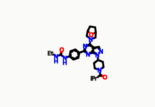 CCNC(=O)Nc1ccc(-c2nc(N3CC4CCC(C3)O4)c3cnn(C4CCN(C(=O)C(C)C)CC4)c3n2)cc1